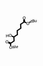 COC(=O)CC(O)CCCCC(=O)OC(C)(C)C